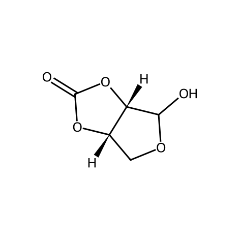 O=C1O[C@H]2COC(O)[C@H]2O1